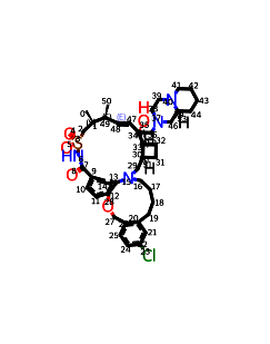 C[C@@H]1CS(=O)(=O)NC(=O)c2ccc3c(c2)N(CCCCc2cc(Cl)ccc2CO3)C[C@@H]2CC[C@H]2[C@](O)(CN2CCN3CCCC[C@@H]3C2)/C=C/[C@@H]1C